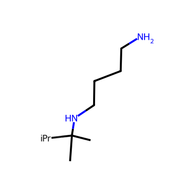 CC(C)C(C)(C)NCCCCN